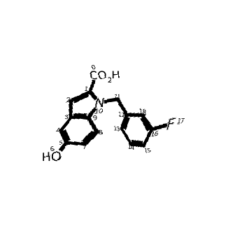 O=C(O)c1cc2cc(O)ccc2n1Cc1cccc(F)c1